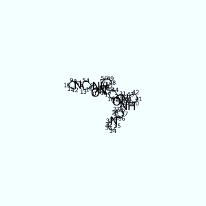 O=C(Nc1ccc(N2CCCCC2)cc1)N(CC1CCC(CN(C(=O)Nc2ccc(N3CCCCC3)cc2)C2CCCCC2)CC1)C1CCCCC1